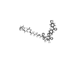 CC/C=C\C/C=C\C/C=C\C/C=C\CCCC=CCC(=O)N1CC[C@H](N(C)C(=O)C(C)(C)Oc2ccc(C(=O)c3ccc(Cl)cc3)cc2)C1